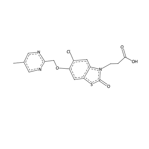 Cc1cnc(COc2cc3sc(=O)n(CCC(=O)O)c3cc2Cl)nc1